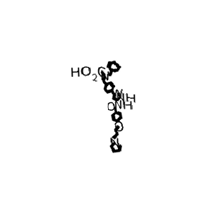 O=C(Nc1cc(-c2ccc(CN(Cc3ccccc3)C(=O)O)cc2)n[nH]1)c1ccc(OCCCN2CCCC2)cc1